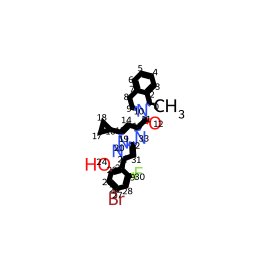 C[C@@H]1c2ccccc2CCN1C(=O)c1cc(C2CC2)n2nc(-c3c(O)cc(Br)cc3F)cc2n1